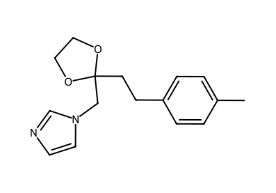 Cc1ccc(CCC2(Cn3ccnc3)OCCO2)cc1